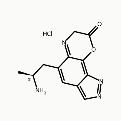 C[C@H](N)Cc1cc2c(c3c1=NCC(=O)O3)N=NC=2.Cl